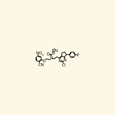 CC(C)(C)OC(=O)N(CCOc1cc([N+](=O)[O-])ccc1C#N)CCc1nc(Cl)nc2c1CCC2c1ccc(F)cc1